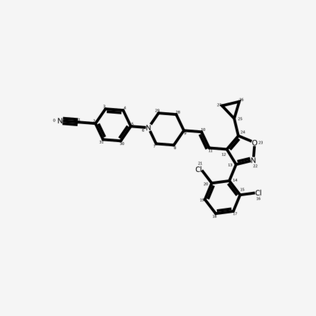 N#Cc1ccc(N2CCC(C=Cc3c(-c4c(Cl)cccc4Cl)noc3C3CC3)CC2)cc1